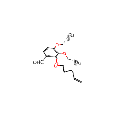 C=CCCCOc1c(C=O)ccc(OC[C@@H](C)CC)c1OC[C@@H](C)CC